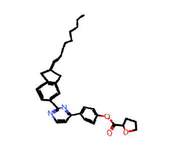 CCCCCCCCC1Cc2ccc(-c3nccc(-c4ccc(OC(=O)C5CCCO5)cc4)n3)cc2C1